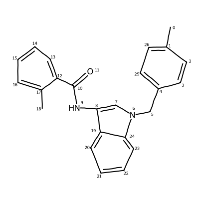 Cc1ccc(Cn2cc(NC(=O)c3ccccc3C)c3ccccc32)cc1